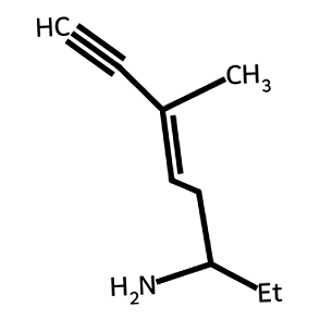 C#C/C(C)=C/CC(N)CC